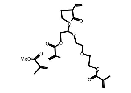 C=C(C)C(=O)OC.C=CC1CCN(C(COC(=O)C(=C)C)OCCOCCOC(=O)C(=C)C)C1=O